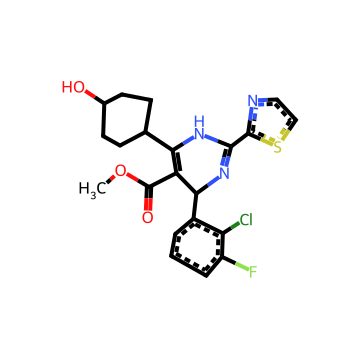 COC(=O)C1=C(C2CCC(O)CC2)NC(c2nccs2)=NC1c1cccc(F)c1Cl